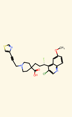 COc1ccc2ncc(Cl)c([C@@H](F)CCC3(C(=O)O)CCN(CC#Cc4cscn4)CC3)c2c1